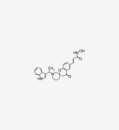 CC(c1c[nH]c2ccccc12)N1CCCC2(CC(=O)c3cc(/C=C/C(=O)NO)ccc3O2)C1